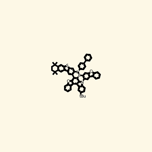 CC(C)(C)c1ccc2c(c1)c1c3c(oc4ccccc43)c3c4c1n2-c1cc2c(cc1B4N(c1ccc(-c4ccccc4)cc1)c1cc4sc5cc6c(cc5c4cc1-3)C(C)(C)CCC6(C)C)oc1ccccc12